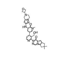 Cn1cc(-c2ccnc(-n3ncn4c5c(cc4c3=O)CC(C)(C)C5)c2CO)cc(Nc2cc3n(n2)CCN(C2COC2)C3)c1=O